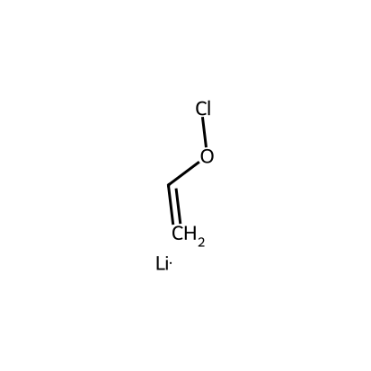 C=COCl.[Li]